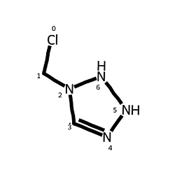 ClCN1[C]=NNN1